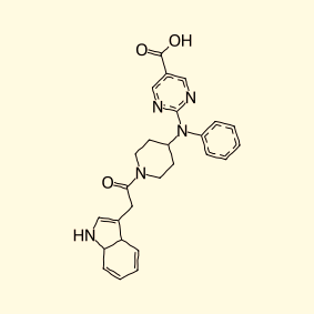 O=C(O)c1cnc(N(c2ccccc2)C2CCN(C(=O)CC3=CNC4C=CC=CC34)CC2)nc1